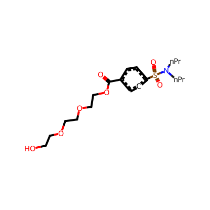 CCCN(CCC)S(=O)(=O)c1ccc(C(=O)OCCOCCOCCO)cc1